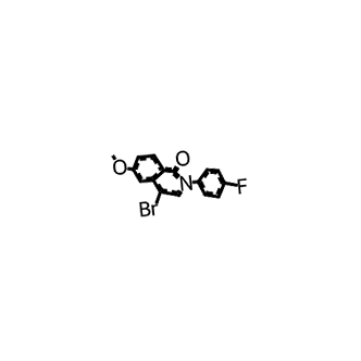 COc1ccc2c(=O)n(-c3ccc(F)cc3)cc(Br)c2c1